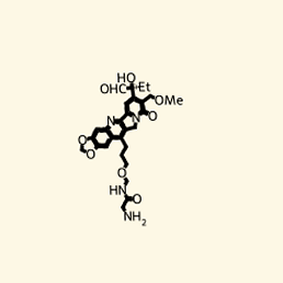 CC[C@@](O)(C=O)c1cc2n(c(=O)c1COC)Cc1c-2nc2cc3c(cc2c1CCCOCNC(=O)CN)OCO3